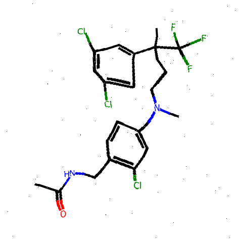 CC(=O)NCc1ccc(N(C)CCC(C)(c2cc(Cl)cc(Cl)c2)C(F)(F)F)cc1Cl